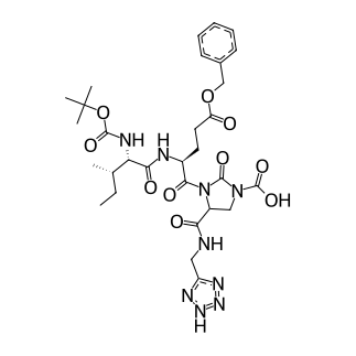 CC[C@H](C)[C@H](NC(=O)OC(C)(C)C)C(=O)N[C@@H](CCC(=O)OCc1ccccc1)C(=O)N1C(=O)N(C(=O)O)CC1C(=O)NCc1nn[nH]n1